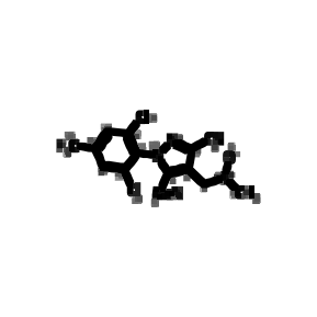 CNc1c(C[S+](C)[O-])c(C#N)nn1-c1c(Cl)cc(C(F)(F)F)cc1Cl